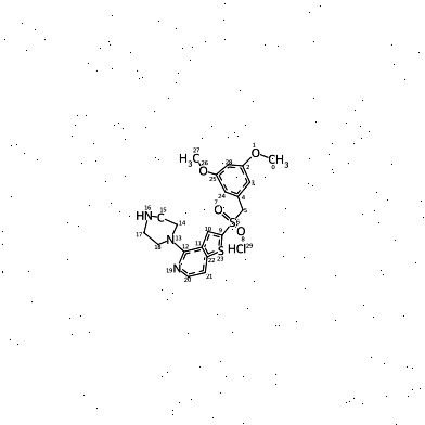 COc1cc(CS(=O)(=O)c2cc3c(N4CCNCC4)nccc3s2)cc(OC)c1.Cl